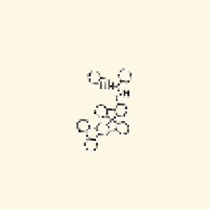 C1=CCC(CNC(NCC2CC=CC3C2C2CCCCC2C32C3CCCCC3C3CC4C5=C(CCCC5)C5C=CCCC5C4CC32)C2CCCCC2)CC1